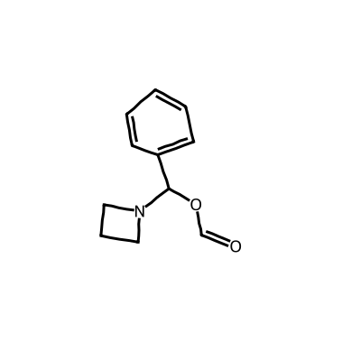 O=COC(c1ccccc1)N1CCC1